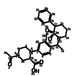 CC(=O)N1CCN(c2ccc(C(C)N3CCCC(c4ccccc4)S3(=O)=O)c(F)c2)[C@@H](C(=O)O)C1